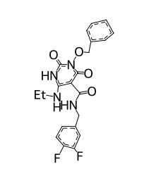 CCNc1[nH]c(=O)n(OCc2ccccc2)c(=O)c1C(=O)NCc1ccc(F)c(F)c1